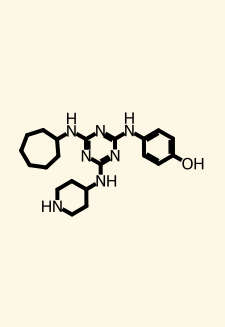 Oc1ccc(Nc2nc(NC3CCCCCC3)nc(NC3CCNCC3)n2)cc1